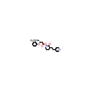 CC(=O)NC[C@H](CC(=O)ON1CCCC(CCc2ccncc2)C1=O)Oc1ccccc1